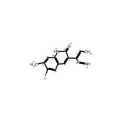 C/C=C(\N=N)c1cc2cc(F)c(C)cc2[nH]c1=O